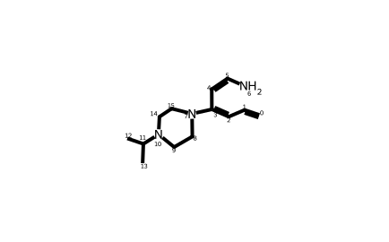 C=C/C=C(\C=C/N)N1CCN(C(C)C)CC1